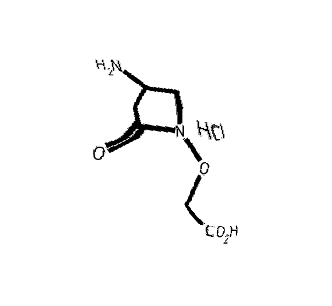 Cl.NC1CN(OCC(=O)O)C1=O